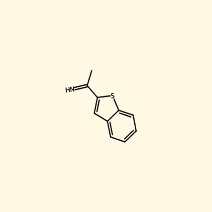 CC(=N)c1cc2ccccc2s1